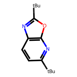 CC(C)(C)c1ccc2nc(C(C)(C)C)oc2n1